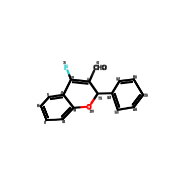 O=CC1=C(F)c2ccccc2OC1c1ccccc1